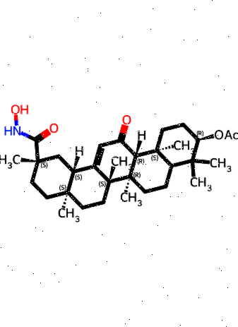 CC(=O)O[C@@H]1CC[C@@]2(C)C(CC[C@]3(C)[C@@H]2C(=O)C=C2[C@H]4C[C@@](C)(C(=O)NO)CC[C@]4(C)CC[C@]23C)C1(C)C